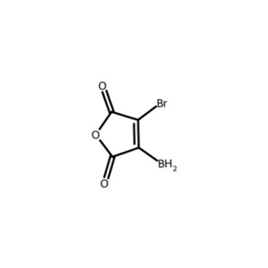 BC1=C(Br)C(=O)OC1=O